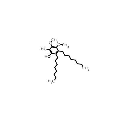 CCCCCCCCc1c(O)c(O)c(OC)c(OC)c1CCCCCCCC